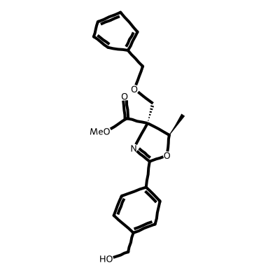 COC(=O)[C@]1(COCc2ccccc2)N=C(c2ccc(CO)cc2)O[C@@H]1C